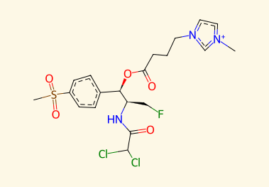 C[n+]1ccn(CCCC(=O)O[C@H](c2ccc(S(C)(=O)=O)cc2)[C@@H](CF)NC(=O)C(Cl)Cl)c1